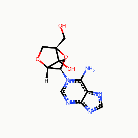 Nc1c2ncnc-2ncn1[C@@H]1O[C@@]2(CO)CO[C@@H]1[C@H]2O